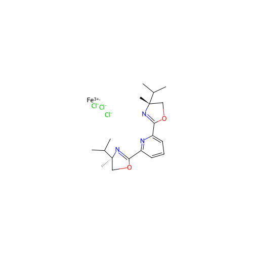 CC(C)[C@]1(C)COC(c2cccc(C3=N[C@](C)(C(C)C)CO3)n2)=N1.[Cl-].[Cl-].[Cl-].[Fe+3]